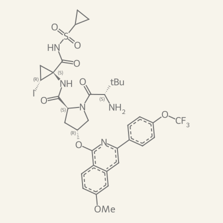 COc1ccc2c(O[C@@H]3C[C@@H](C(=O)N[C@]4(C(=O)NS(=O)(=O)C5CC5)C[C@H]4I)N(C(=O)[C@@H](N)C(C)(C)C)C3)nc(-c3ccc(OC(F)(F)F)cc3)cc2c1